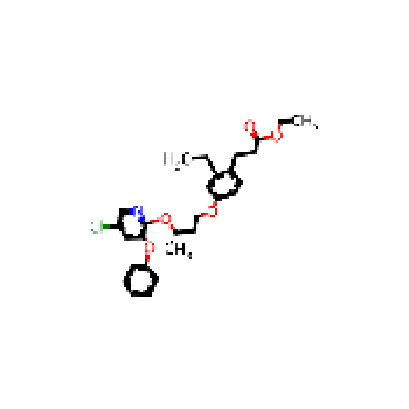 CCOC(=O)CCc1ccc(OCC[C@H](C)Oc2ncc(Cl)cc2Oc2ccccc2)cc1CC